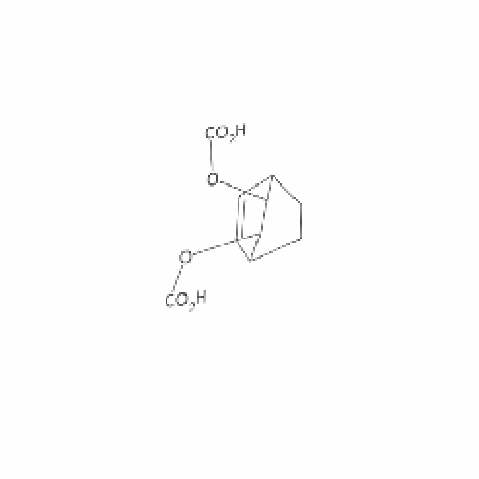 O=C(O)OC1C2C=CC(CC2)C1OC(=O)O